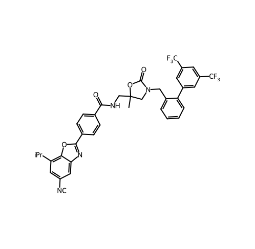 [C-]#[N+]c1cc(C(C)C)c2oc(-c3ccc(C(=O)NCC4(C)CN(Cc5ccccc5-c5cc(C(F)(F)F)cc(C(F)(F)F)c5)C(=O)O4)cc3)nc2c1